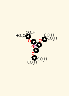 O=C(O)c1ccc(Oc2cccc(P(=O)(c3cccc(Oc4ccc(C(=O)O)c(C(=O)O)c4)c3)c3cccc(Oc4ccc(C(=O)O)c(C(=O)O)c4)c3)c2)cc1C(=O)O